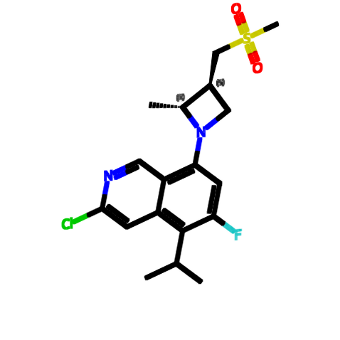 CC(C)c1c(F)cc(N2C[C@H](CS(C)(=O)=O)[C@H]2C)c2cnc(Cl)cc12